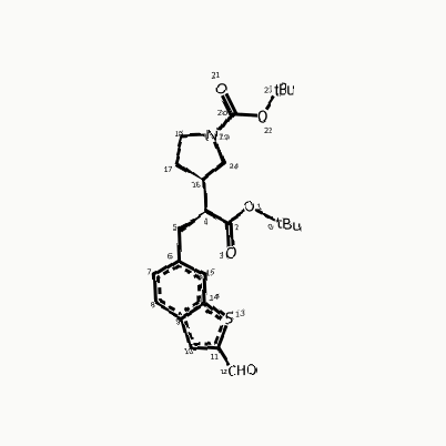 CC(C)(C)OC(=O)[C@@H](Cc1ccc2cc(C=O)sc2c1)[C@H]1CCN(C(=O)OC(C)(C)C)C1